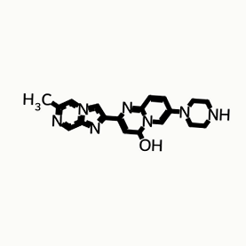 Cc1cn2cc(C3=CC(O)N4C=C(N5CCNCC5)C=CC4=N3)nc2cn1